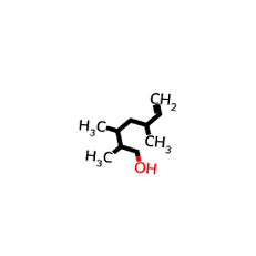 C=CC(C)CC(C)C(C)CO